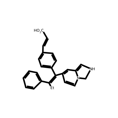 CC/C(=C(\C1=CC2=CNCN2C=C1)c1ccc(/C=C/C(=O)O)cc1)c1ccccc1